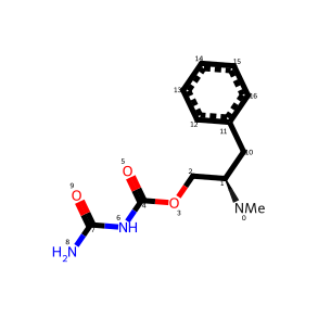 CN[C@@H](COC(=O)NC(N)=O)Cc1ccccc1